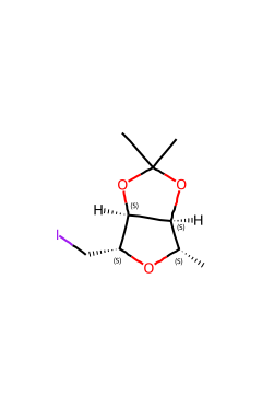 C[C@@H]1O[C@H](CI)[C@H]2OC(C)(C)O[C@H]21